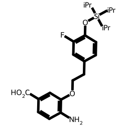 CC(C)[Si](Oc1ccc(CCOc2cc(C(=O)O)ccc2N)cc1F)(C(C)C)C(C)C